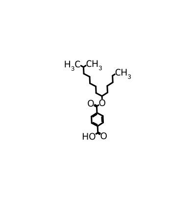 CCCCCC(CCCCCC(C)C)OC(=O)c1ccc(C(=O)O)cc1